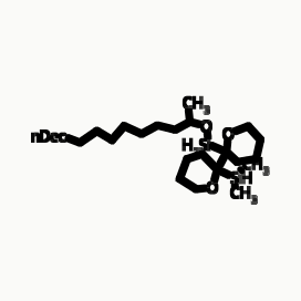 CCCCCCCCCCCCCCCCCC(C)O[SiH2]C1(C2([SiH](C)C)CCCCO2)CCCCO1